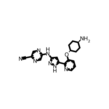 N#Cc1cnc(Nc2cc(-c3ncccc3O[C@H]3CC[C@H](N)CC3)[nH]n2)cn1